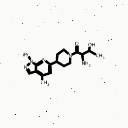 Cc1cc(C2CCN(C(=O)C(N)C(C)O)CC2)nc2c1cnn2C(C)C